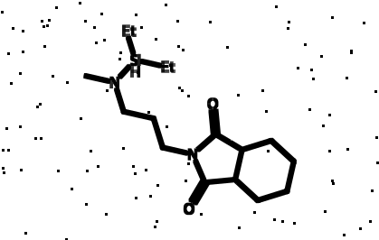 CC[SiH](CC)N(C)CCCN1C(=O)C2CCCCC2C1=O